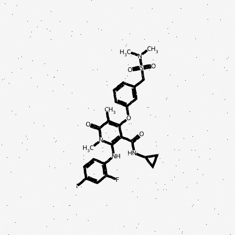 Cc1c(Oc2cccc(CS(=O)(=O)N(C)C)c2)c(C(=O)NC2CC2)c(Nc2ccc(I)cc2F)n(C)c1=O